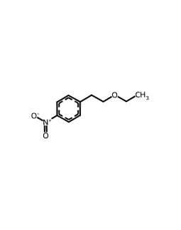 CCOCCc1ccc([N+](=O)[O-])cc1